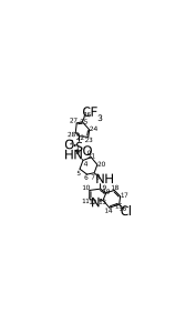 O=S(=O)(NC1CCC(Nc2ccnc3cc(Cl)ccc23)CC1)c1ccc(C(F)(F)F)cc1